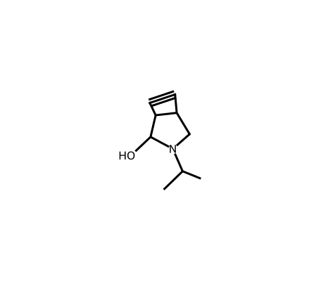 CC(C)N1CC2C#CC2C1O